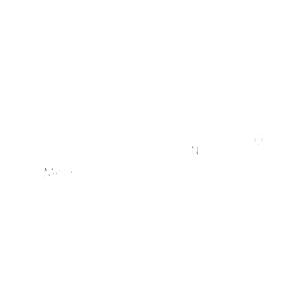 COC1CC=C(N2CCOCC2)CC1